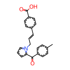 Cc1ccc(C(=O)c2cccn2C/C=C/c2ccc(C(=O)O)cc2)cc1